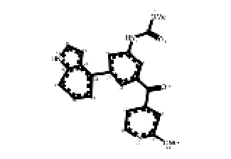 COC(=O)Nc1cc(C(=O)c2ccnc(OC)c2)cc(-c2cccc3[nH]ccc23)c1